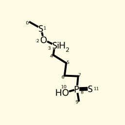 CSO[SiH2]CCCCP(C)(O)=S